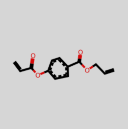 C=CCOC(=O)c1ccc(OC(=O)C=C)cc1